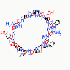 CCCC[C@H]1C(=O)N(C)[C@@H](CCCC)C(=O)N[C@@H](CC(C)C)C(=O)NCCOCC(=O)N[C@@H](Cc2ccc(O)cc2)C(=O)N(C)[C@@H](C)C(=O)N[C@@H](CC(N)=O)C(=O)N2CCC[C@H]2C(=O)N[C@@H](CN)C(=O)N[C@@H](CC(C)C)C(=O)N2C[C@H](O)C[C@H]2C(=O)N[C@@H](Cc2c[nH]c3ccccc23)C(=O)N[C@@H](CCN)C(=O)N[C@@H](Cc2c[nH]c3ccccc23)C(=O)N1C